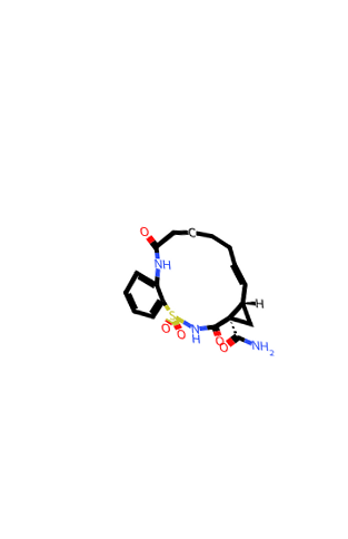 NC(=O)[C@@]12C[C@H]1/C=C/CCCCC(=O)Nc1ccccc1S(=O)(=O)NC2=O